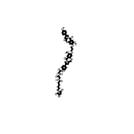 COc1ccc(C2=CN3C(=O)c4cc(OC)c(OCCCOc5cc6c(cc5OC)C(=O)N5C=C(c7ccc(NC(=O)[C@@H](C)NC(=O)CNC(=O)CCCCCN8C(=O)C=C(Br)C8=O)cc7)CC5C=N6)cc4N=C[C@@H]3C2)cc1